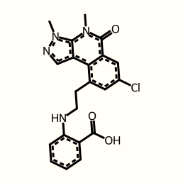 Cn1ncc2c3c(CCNc4ccccc4C(=O)O)cc(Cl)cc3c(=O)n(C)c21